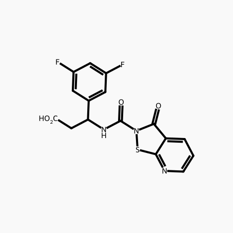 O=C(O)CC(NC(=O)n1sc2ncccc2c1=O)c1cc(F)cc(F)c1